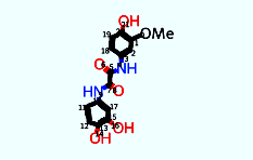 COc1cc(NC(=O)C(=O)Nc2ccc(O)c(O)c2)ccc1O